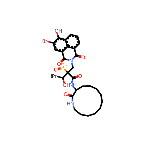 CC(C)C(O)C(CN1C(=O)c2cccc3c(O)c(Br)cc(c23)C1=O)([PH2]=O)C(=O)NC1CCCCCCCCCCNC1=O